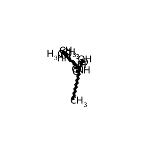 CCCCCCCCCCCCCC(=O)NC(CCC(=O)O)C(=O)NCCCCNC(=O)OC(C)(C)C